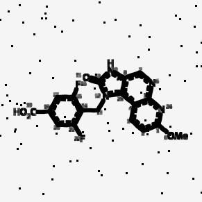 COc1ccc2c(ncc3[nH]c(=O)n(Cc4c(F)cc(C(=O)O)cc4F)c32)n1